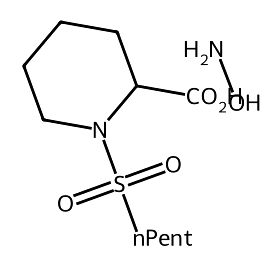 CCCCCS(=O)(=O)N1CCCCC1C(=O)O.NO